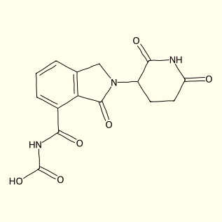 O=C(O)NC(=O)c1cccc2c1C(=O)N(C1CCC(=O)NC1=O)C2